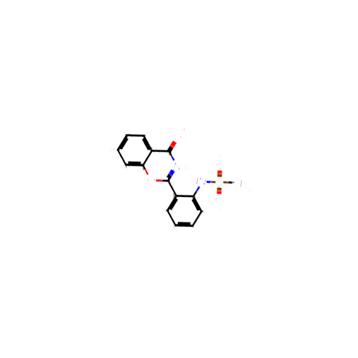 CS(=O)(=O)Nc1ccccc1-c1nc(=O)c2ccccc2o1